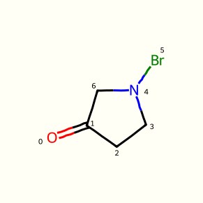 O=C1CCN(Br)C1